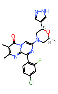 Cc1nc2c(-c3ccc(Cl)cc3F)nc(N3C[C@@H](C)O[C@@H](c4cn[nH]c4)C3)cn2c(=O)c1C